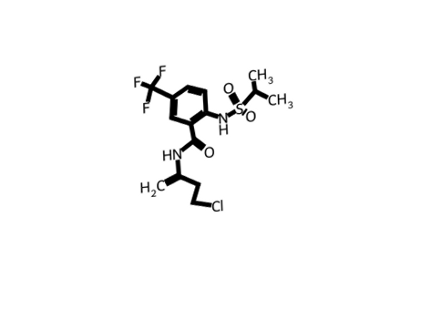 C=C(CCCl)NC(=O)c1cc(C(F)(F)F)ccc1NS(=O)(=O)C(C)C